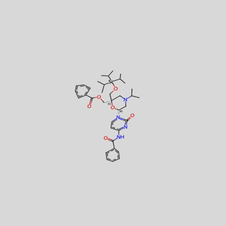 CC(C)N1C[C@H](n2ccc(NC(=O)c3ccccc3)nc2=O)O[C@@](COC(=O)c2ccccc2)(CO[Si](C(C)C)(C(C)C)C(C)C)C1